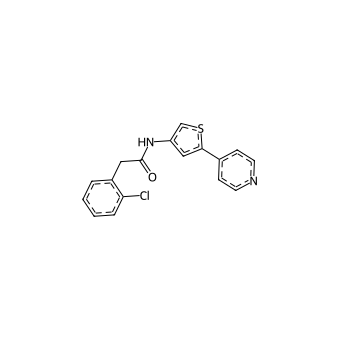 O=C(Cc1ccccc1Cl)Nc1csc(-c2ccncc2)c1